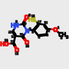 COc1ccc(-n2c(=O)[nH]cc(C(=O)O)c2=O)c(S)c1